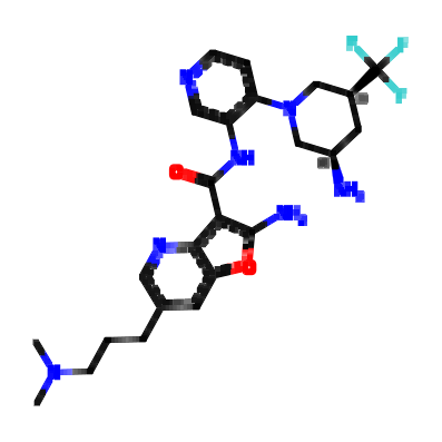 CN(C)CCCc1cnc2c(C(=O)Nc3cnccc3N3C[C@H](N)C[C@H](C(F)(F)F)C3)c(N)oc2c1